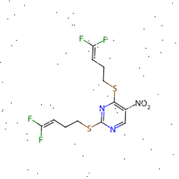 O=[N+]([O-])c1cnc(SCCC=C(F)F)nc1SCCC=C(F)F